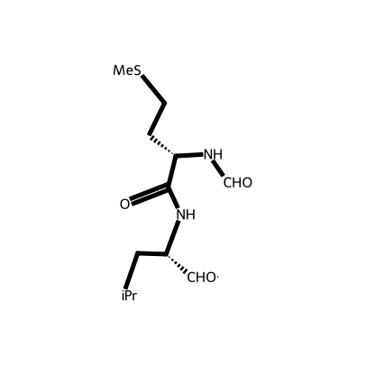 CSCC[C@H](NC=O)C(=O)N[C@H]([C]=O)CC(C)C